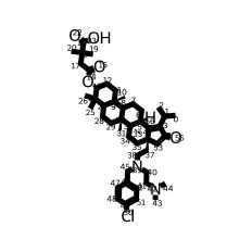 CC(C)C1=C2[C@H]3CCC4[C@@]5(C)CC[C@H](OC(=O)CC(C)(C)C(=O)O)C(C)(C)C5CC[C@@]4(C)[C@]3(C)CC[C@@]2(CCN(CCN(C)C)Cc2ccc(Cl)cc2)CC1=O